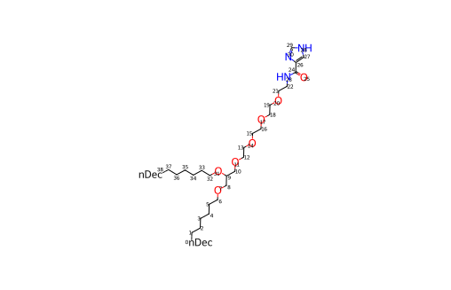 CCCCCCCCCCCCCCCCOCC(COCCOCCOCCOCCNC(=O)c1c[nH]cn1)OCCCCCCCCCCCCCCCC